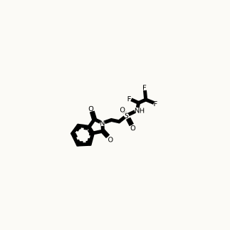 O=C1c2ccccc2C(=O)N1CCS(=O)(=O)NC(F)C(F)F